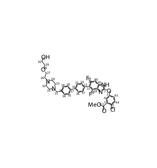 COC(=O)c1cc(Oc2nc3c(F)c(-c4ccc(-c5ccc(CN6CCN(CCOCCO)CC6)cc5)cc4)c(F)cc3[nH]2)ccc1Cl